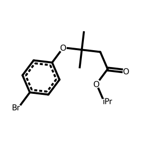 CC(C)OC(=O)CC(C)(C)Oc1ccc(Br)cc1